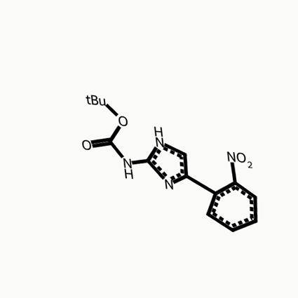 CC(C)(C)OC(=O)Nc1nc(-c2ccccc2[N+](=O)[O-])c[nH]1